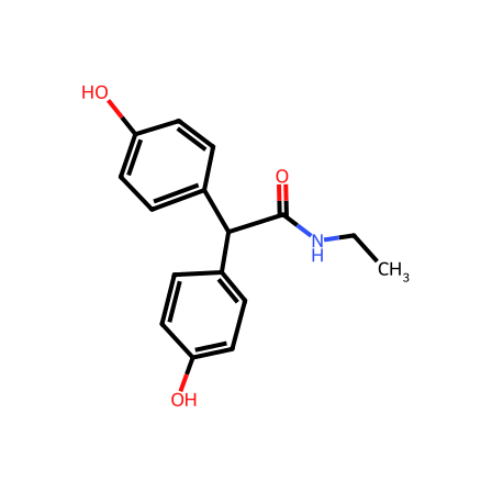 CCNC(=O)C(c1ccc(O)cc1)c1ccc(O)cc1